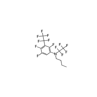 CCCCN(c1cc(F)c(F)c(C(F)(F)C(F)(F)F)c1F)C(F)(F)C(F)(F)F